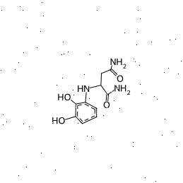 NC(=O)CC(Nc1cccc(O)c1O)C(N)=O